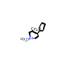 O=C(O)C1=C(C2=CC=CCC2)C=CN(C(=O)O)C1